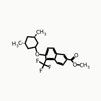 COC(=O)c1ccc2c(C(F)(F)F)c(OC3C[C@H](C)C[C@@H](C)C3)ccc2c1